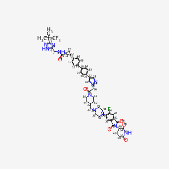 CC(C)(c1n[nH]c(CNC(=O)[C@H]2C[C@@H]2c2ccc(-c3ccc(-c4cnn(CC(=O)N5CCC(CN6CCN(c7cc8c(cc7F)C(=O)N(C7CCC(=O)NC7=O)C8=O)CC6)CC5)c4)cc3)cc2)n1)C(F)(F)F